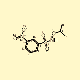 CC(C)ONS(=O)(=O)c1cccc([N+](=O)[O-])c1